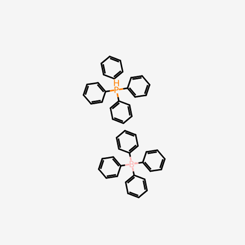 c1ccc([B-](c2ccccc2)(c2ccccc2)c2ccccc2)cc1.c1ccc([PH](c2ccccc2)(c2ccccc2)c2ccccc2)cc1